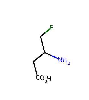 NC(CF)CC(=O)O